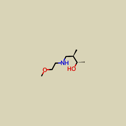 COCCNC[C@@H](C)[C@H](C)O